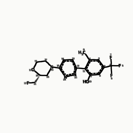 Cc1cc(C(F)(F)F)cc(O)c1-c1ccc(N2CCO[C@@H](CF)C2)nn1